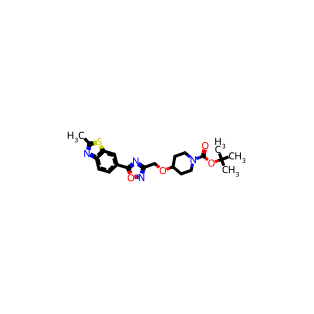 Cc1nc2ccc(-c3nc(COC4CCN(C(=O)OC(C)(C)C)CC4)no3)cc2s1